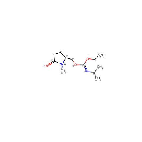 CCOC(=NC(C)C)OCC1CCC(=O)N1C